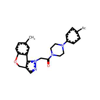 CC(=O)c1ccc(N2CCN(C(=O)Cn3ncc4c3-c3cc(C)ccc3OC4)CC2)cc1